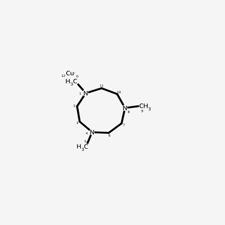 CN1CCN(C)CCN(C)CC1.[Cu]